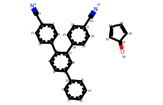 N#Cc1ccc(-c2ccc(-c3ccccc3)cc2-c2ccc(C#N)cc2)cc1.O=C1C=CC=C1